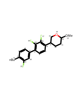 CCCCc1ccc(-c2ccc(C3CCC(OC)OC3)c(F)c2F)cc1F